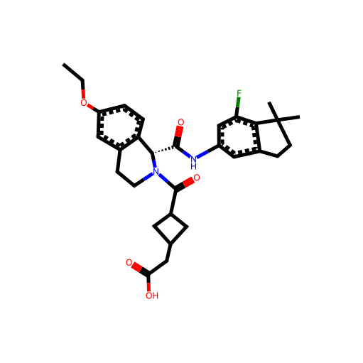 CCOc1ccc2c(c1)CCN(C(=O)C1CC(CC(=O)O)C1)[C@H]2C(=O)Nc1cc(F)c2c(c1)CCC2(C)C